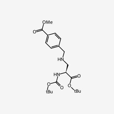 COC(=O)c1ccc(CNC[C@H](NC(=O)OC(C)(C)C)C(=O)OC(C)(C)C)cc1